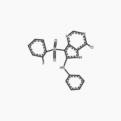 O=S(=O)(c1ccccc1F)c1c(Nc2ccccc2)[nH]c2c(Cl)ncnc12